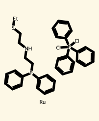 CCSCCNCCP(c1ccccc1)c1ccccc1.ClP(Cl)(c1ccccc1)(c1ccccc1)c1ccccc1.[Ru]